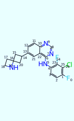 Fc1ccc(Nc2ncnc3ccc(C4CC5(CCN5)C4)cc23)c(F)c1Cl